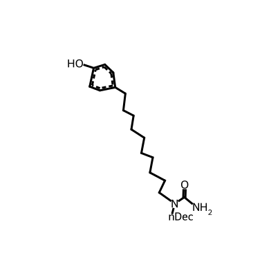 CCCCCCCCCCN(CCCCCCCCCCc1ccc(O)cc1)C(N)=O